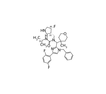 [CH2][C@@H](C)NC(=O)N(C[C@@H]1CNC[C@@H]1F)C(c1nc(-c2cc(F)ccc2F)cn1Cc1ccccc1)C1(C)CCOCC1